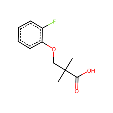 CC(C)(COc1ccccc1F)C(=O)O